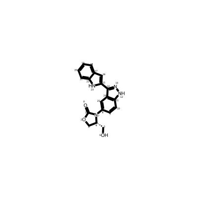 O=C1OC[C@@H](CO)N1c1ccc2[nH]nc(-c3cc4ccccc4[nH]3)c2c1